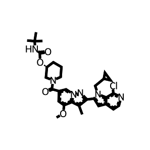 COc1cc(C(=O)N2CCC[C@@H](OC(=O)NC(C)(C)C)C2)cn2nc(-c3cc4ccnc(Cl)c4n3CC3CC3)c(C)c12